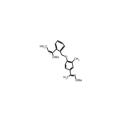 CON=C(C)c1ccc(OCc2ccccc2/C(=C\C(=O)O)OC)c(C)c1